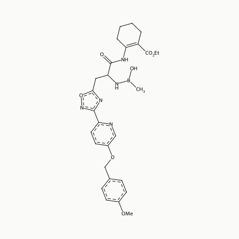 CCOC(=O)C1=C(NC(=O)C(Cc2nc(-c3ccc(OCc4ccc(OC)cc4)cn3)no2)NB(C)O)CCCC1